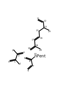 C=C(C)C(=C)C.C=CC(=C)CCCCC.C=CC(C)CC=CC(=C)C